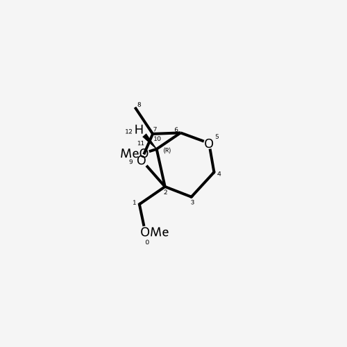 COCC12CCOC(C(C)O1)[C@H]2OC